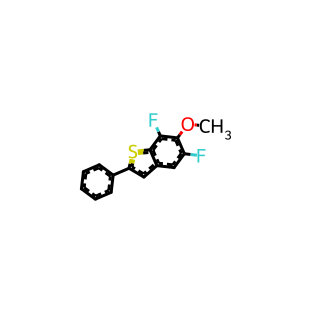 COc1c(F)cc2cc(-c3ccccc3)sc2c1F